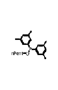 CCCCCOP(c1cc(C)cc(C)c1)c1cc(C)cc(C)c1